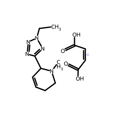 CCn1nnc(C2C=CCCN2C)n1.O=C(O)/C=C\C(=O)O